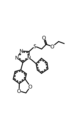 CCOC(=O)CSc1nnc(-c2ccc3c(c2)OCO3)n1-c1ccccc1